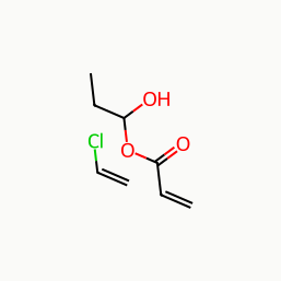 C=CC(=O)OC(O)CC.C=CCl